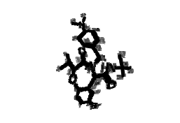 CC(C)C1Oc2ccc(Br)cc2C(C(=O)NC(C)(C)C)N(Cc2ccc(N(C)C)cc2)C1=O